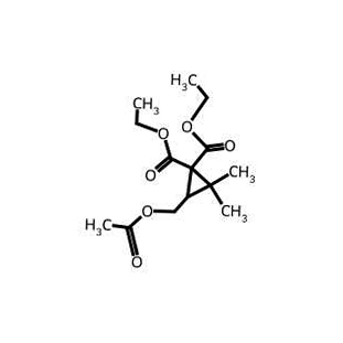 CCOC(=O)C1(C(=O)OCC)C(COC(C)=O)C1(C)C